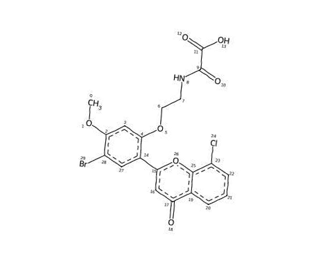 COc1cc(OCCNC(=O)C(=O)O)c(-c2cc(=O)c3cccc(Cl)c3o2)cc1Br